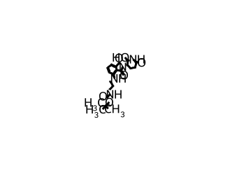 CC(C)(C)OC(=O)NCCCNc1cccc2c1C(=O)N(C1CCC(=O)NC1O)C2=O